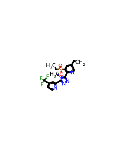 C=Cc1cnc(-c2nnc(-c3cc(C(F)(F)F)ccn3)n2C)c(S(=O)(=O)CC)c1